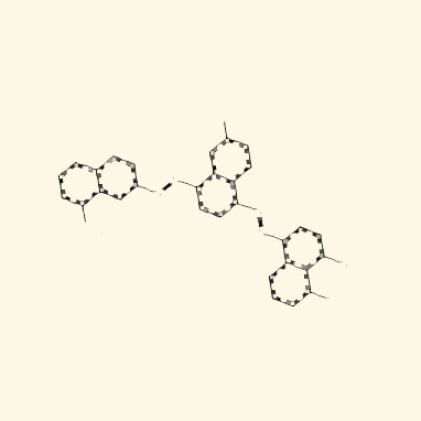 Nc1ccc(N=Nc2ccc(N=Nc3ccc4cccc(S(=O)(=O)O)c4c3)c3cc(S(=O)(=O)O)ccc23)c2cccc(S(=O)(=O)O)c12